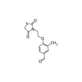 Cc1cc(C=O)ccc1OCCN1C(=O)CSC1=O